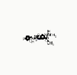 CCOc1nc(NC)nc2ccc(/C=C3/SC(NCc4ccc(F)cc4Cl)=NC3=O)cc12